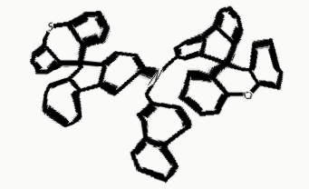 c1ccc2c(c1)Oc1ccccc1C21c2ccccc2-c2ccc(N(c3ccc4c(c3)-c3ccccc3C43c4ccccc4Sc4ccccc43)c3ccc4ccccc4c3)cc21